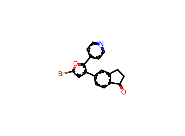 O=C1CCc2cc(-c3cc(Br)oc3-c3ccncc3)ccc21